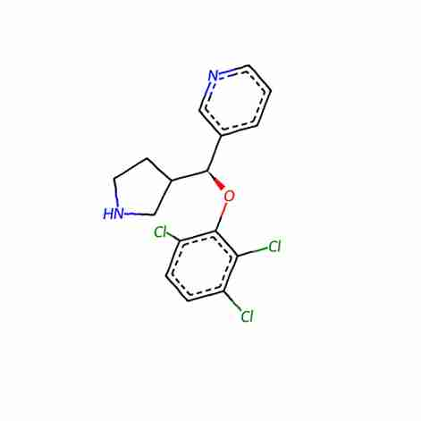 Clc1ccc(Cl)c(O[C@H](c2cccnc2)C2CCNC2)c1Cl